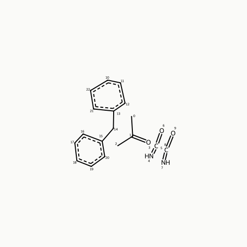 CC(C)=O.N=C=O.N=C=O.c1ccc(Cc2ccccc2)cc1